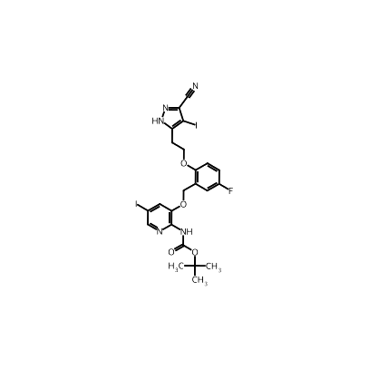 CC(C)(C)OC(=O)Nc1ncc(I)cc1OCc1cc(F)ccc1OCCc1[nH]nc(C#N)c1I